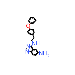 Nc1ccc2ncnc(NCCc3ccc(Oc4ccccc4)cc3)c2c1